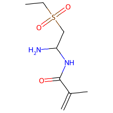 C=C(C)C(=O)NC(N)CS(=O)(=O)CC